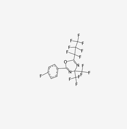 Fc1ccc(C2=NC(C(F)(F)F)(C(F)(F)F)N=C(C(F)(F)C(F)(F)C(F)(F)F)O2)cc1